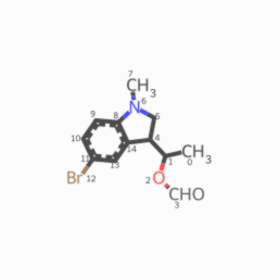 CC(OC=O)C1CN(C)c2ccc(Br)cc21